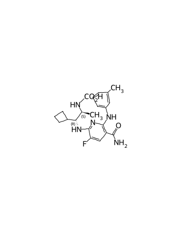 Cc1cccc(Nc2nc(N[C@H](C3CCC3)[C@H](C)NC(=O)O)c(F)cc2C(N)=O)c1